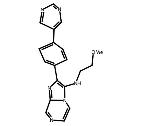 COCCNc1c(-c2ccc(-c3cncnc3)cc2)nc2cnccn12